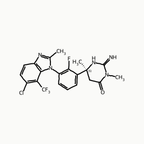 Cc1nc2ccc(Cl)c(C(F)(F)F)c2n1-c1cccc([C@]2(C)CC(=O)N(C)C(=N)N2)c1F